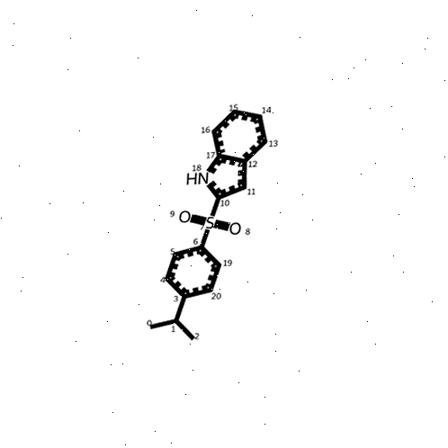 CC(C)c1ccc(S(=O)(=O)c2cc3ccccc3[nH]2)cc1